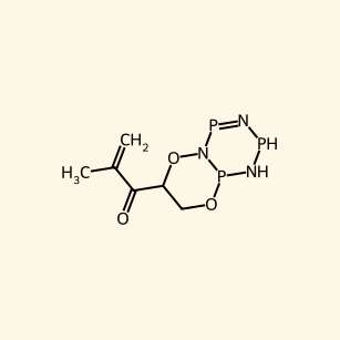 C=C(C)C(=O)C1COp2[nH][pH]npn2O1